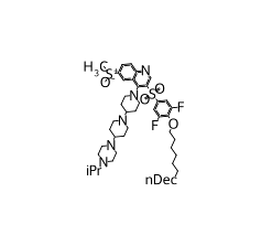 CCCCCCCCCCCCCCCCOc1c(F)cc(S(=O)(=O)c2cnc3ccc([S+](C)[O-])cc3c2N2CCC(N3CCC(N4CCN(C(C)C)CC4)CC3)CC2)cc1F